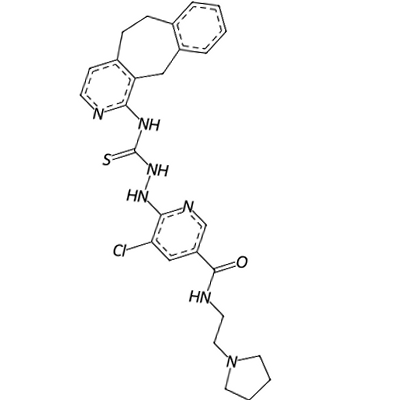 O=C(NCCN1CCCC1)c1cnc(NNC(=S)Nc2nccc3c2Cc2ccccc2CC3)c(Cl)c1